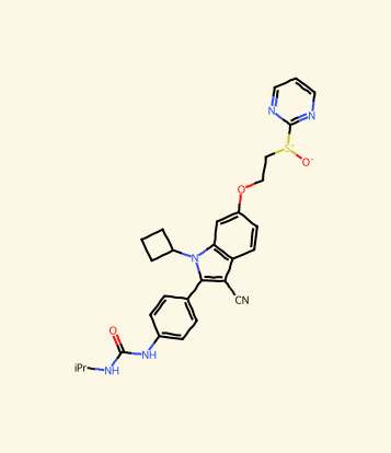 CC(C)NC(=O)Nc1ccc(-c2c(C#N)c3ccc(OCC[S+]([O-])c4ncccn4)cc3n2C2CCC2)cc1